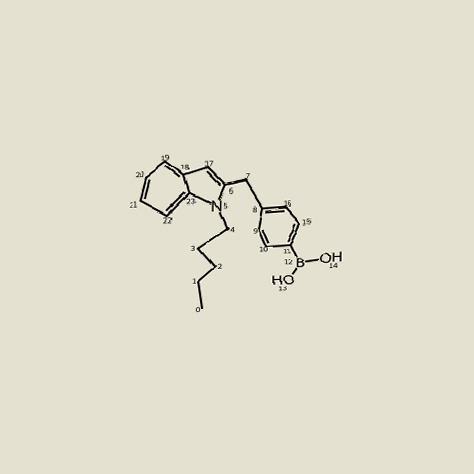 CCCCCn1c(Cc2ccc(B(O)O)cc2)cc2ccccc21